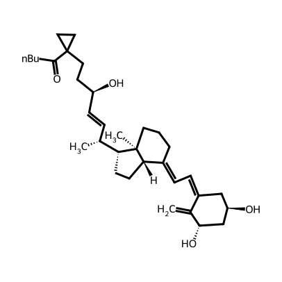 C=C1/C(=C\C=C2/CCC[C@]3(C)[C@@H]([C@H](C)/C=C/[C@H](O)CCC4(C(=O)CCCC)CC4)CC[C@@H]23)C[C@@H](O)C[C@@H]1O